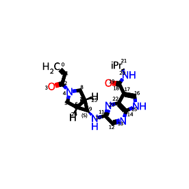 C=CC(=O)N1C[C@@H]2[C@H](C1)[C@H]2Nc1cnc2[nH]cc(C(=O)NC(C)C)c2n1